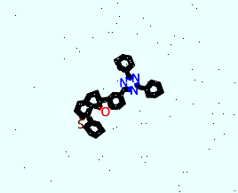 c1ccc(-c2nc(-c3ccccc3)nc(-c3ccc4oc5c(ccc6ccc7sc8ccccc8c7c65)c4c3)n2)cc1